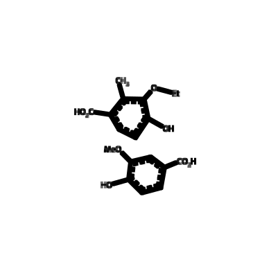 CCOc1c(O)ccc(C(=O)O)c1C.COc1cc(C(=O)O)ccc1O